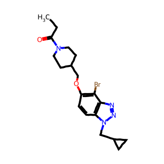 CCC(=O)N1CCC(COc2ccc3c(nnn3CC3CC3)c2Br)CC1